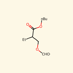 CCCCOC(=O)C(CC)CO[C]=O